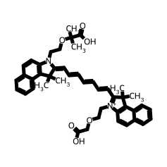 CC(C)(OCCN1/C(=C/C=C/C=C/C=C/C2=[N+](CCOCC(=O)O)c3ccc4ccccc4c3C2(C)C)C(C)(C)c2c1ccc1ccccc21)C(=O)O